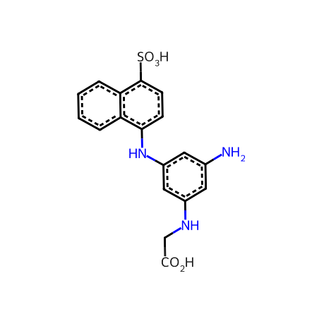 Nc1cc(NCC(=O)O)cc(Nc2ccc(S(=O)(=O)O)c3ccccc23)c1